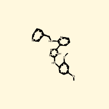 COc1ccc(Nc2nnc(-c3cccnc3NCc3cccnc3)[nH]2)c(OC)c1